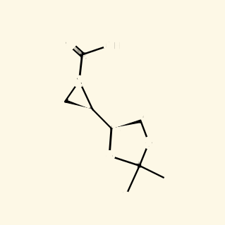 CC1(C)OC[C@H]([C@H]2CN2C(=O)O)O1